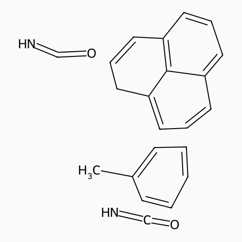 C1=Cc2cccc3cccc(c23)C1.Cc1ccccc1.N=C=O.N=C=O